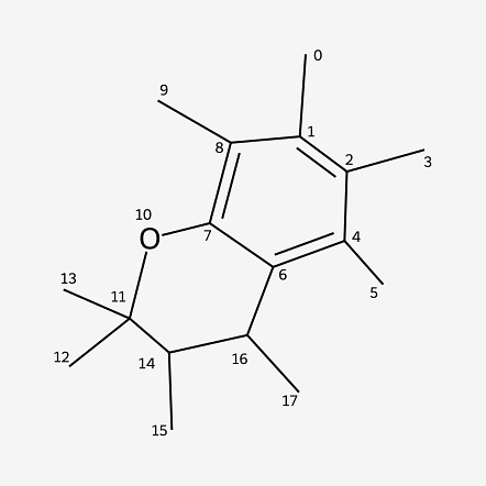 Cc1c(C)c(C)c2c(c1C)OC(C)(C)C(C)C2C